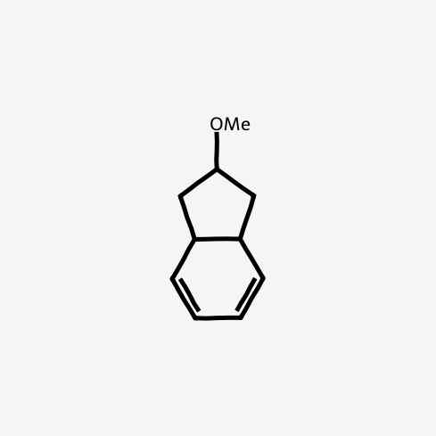 COC1CC2C=CC=CC2C1